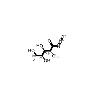 C[C@H](O)[C@H](O)[C@@H](O)[C@@H](O)C(=O)N=[N+]=[N-]